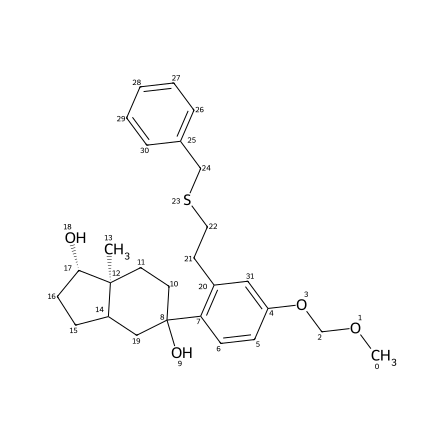 COCOc1ccc(C2(O)CC[C@@]3(C)C(CC[C@@H]3O)C2)c(CCSCc2ccccc2)c1